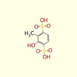 Cc1c(S(=O)(=O)O)ccc(S(=O)(=O)O)c1O